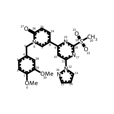 COc1ccc(Cn2cc(-c3cc(-n4cccn4)nc(S(C)(=O)=O)n3)ccc2=O)cc1OC